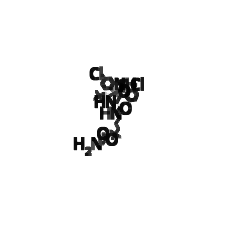 CC(C)(C)C[C@H]1N[C@@H](C(=O)NCCCC(C)(C)OC(=O)CN)[C@H](c2cccc(Cl)c2F)[C@@]12C(=O)Nc1cc(Cl)ccc12